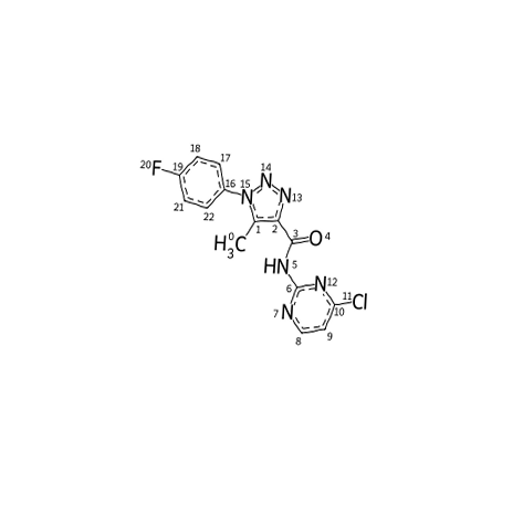 Cc1c(C(=O)Nc2nccc(Cl)n2)nnn1-c1ccc(F)cc1